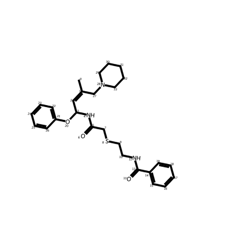 C/C(=C/C(NC(=O)CSCCNC(=O)c1ccccc1)Oc1ccccc1)CN1CCCCC1